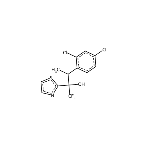 CC(c1ccc(Cl)cc1Cl)C(O)(c1nccs1)C(F)(F)F